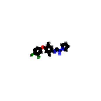 Cc1cc(Oc2ccc(F)c(Br)c2)c(C)cc1/N=C/NN1CCCC1